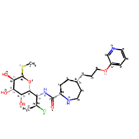 CS[C@H]1O[C@H]([C@H](NC(=O)[C@@H]2CC[C@H](CCCOc3cccnc3)CCN2)[C@H](C)Cl)[C@H](O)[C@H](O)[C@H]1O